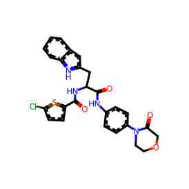 O=C(NC(Cc1cc2ccccc2[nH]1)C(=O)Nc1ccc(N2CCOCC2=O)cc1)c1ccc(Cl)s1